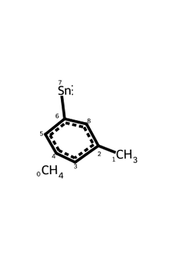 C.Cc1ccc[c]([Sn])c1